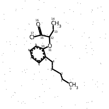 CCCCCc1ccccc1OC(CC)C(=O)Cl